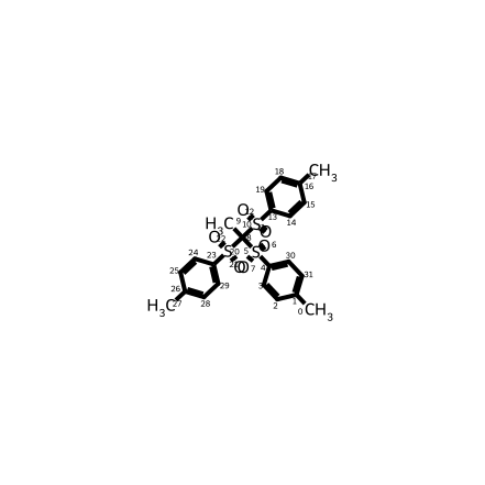 Cc1ccc(S(=O)(=O)C(C)(S(=O)(=O)c2ccc(C)cc2)S(=O)(=O)c2ccc(C)cc2)cc1